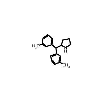 Cc1cccc(C(c2cccc(C)c2)C2CCCN2)c1